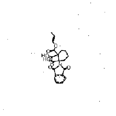 CC=COC(=O)C1(C(=O)O)CCCCC1(C(=O)O)N1C(=O)c2ccccc2C1=O